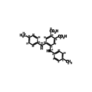 Cc1ccc(Nc2cc(C(=O)O)c(C(=O)O)cc2Nc2ccc(C)cc2)cc1